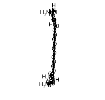 NC(=O)C(CCOCCOCCOCCOCCOCCOCCOCCOCCOCCOCCC(=O)NCc1ccc(COc2nc(N)nc3[nH]cnc23)cc1)CC(=O)Nc1nnc(S(N)(=O)=O)s1